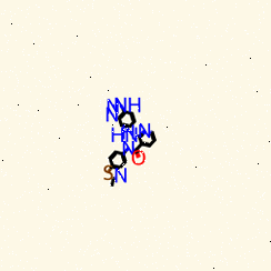 Cc1nc2cc(NC(=O)c3cccnc3Nc3ccc4[nH]nnc4c3)ccc2s1